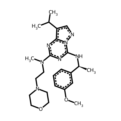 COc1cccc([C@H](C)Nc2nc(N(C)CCN3CCOCC3)nc3c(C(C)C)cnn23)c1